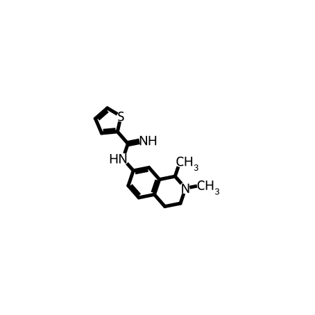 CC1c2cc(NC(=N)c3cccs3)ccc2CCN1C